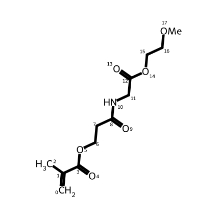 C=C(C)C(=O)OCCC(=O)NCC(=O)OCCOC